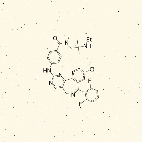 CCNC(C)(C)CN(C)C(=O)c1ccc(Nc2ncc3c(n2)-c2ccc(Cl)cc2C(c2c(F)cccc2F)=NC3)cc1